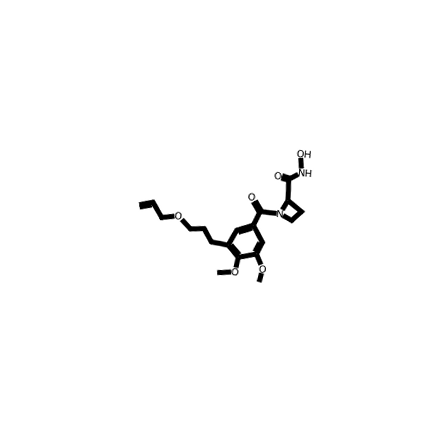 C=CCOCCCc1cc(C(=O)N2CCC2C(=O)NO)cc(OC)c1OC